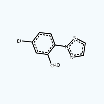 CCc1ccc(-n2nccn2)c(C=O)c1